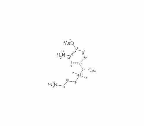 COc1ccc(C[N+](C)(C)CCCN)cc1N.[Cl-]